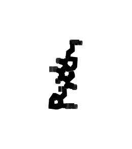 COCCN1CCn2cc(C(=O)NCc3ccccc3OC)c(=O)c(O)c2C1=O